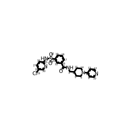 O=C(NCC1CCN(c2ccncc2)CC1)c1cccc(S(=O)(=O)Nc2ccc(Cl)cn2)c1